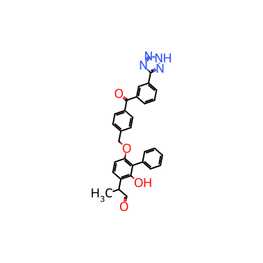 CC(C=O)c1ccc(OCc2ccc(C(=O)c3cccc(-c4nn[nH]n4)c3)cc2)c(-c2ccccc2)c1O